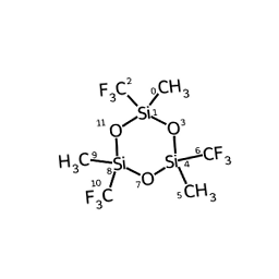 C[Si]1(C(F)(F)F)O[Si](C)(C(F)(F)F)O[Si](C)(C(F)(F)F)O1